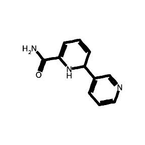 NC(=O)C1=CC=CC(c2cccnc2)N1